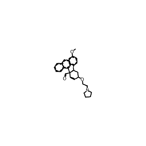 COc1ccc(C2CC(OCCN3CCCC3)C=CC2(C=O)c2cccc3ccccc23)cc1